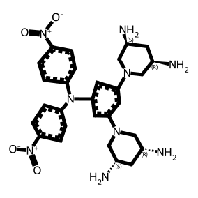 N[C@@H]1C[C@H](N)CN(c2cc(N3C[C@H](N)C[C@H](N)C3)cc(N(c3ccc([N+](=O)[O-])cc3)c3ccc([N+](=O)[O-])cc3)c2)C1